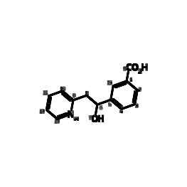 O=C(O)c1cccc(C(O)Cc2ccccn2)c1